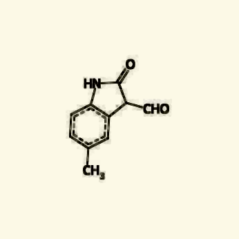 Cc1ccc2c(c1)C(C=O)C(=O)N2